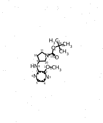 COc1nccnc1NC1CCN(C(=O)OC(C)(C)C)C1